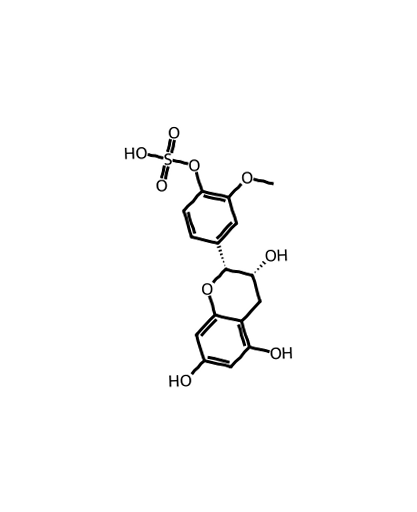 COc1cc([C@H]2Oc3cc(O)cc(O)c3C[C@H]2O)ccc1OS(=O)(=O)O